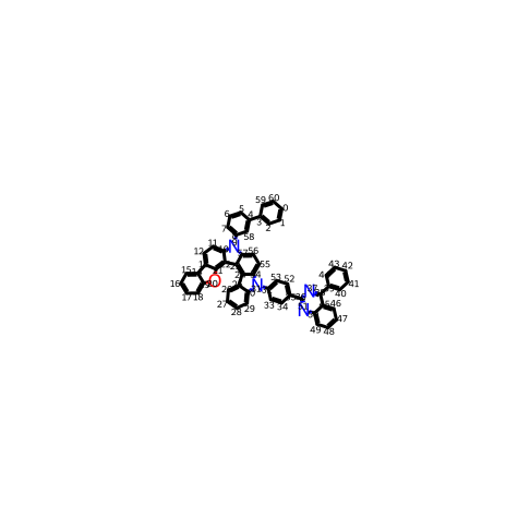 c1ccc(-c2cccc(-n3c4ccc5c6ccccc6oc5c4c4c5c6ccccc6n(-c6ccc(-c7nc(-c8ccccc8)c8ccccc8n7)cc6)c5ccc43)c2)cc1